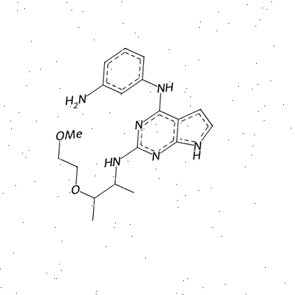 COCCOC(C)C(C)Nc1nc(Nc2cccc(N)c2)c2cc[nH]c2n1